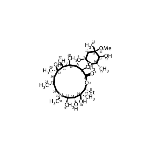 CC[C@H]1OC(=O)[C@H](C)[C@@H](O[C@H]2C[C@@](C)(OC)[C@@H](O)[C@H](C)O2)[C@H](C)C(C)[C@](C)(O)C[C@@H](C)CN(C)[C@H](C)[C@@H](O)[C@]1(C)O